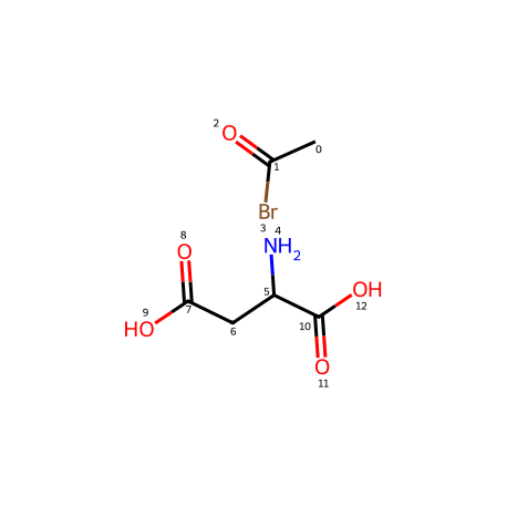 CC(=O)Br.NC(CC(=O)O)C(=O)O